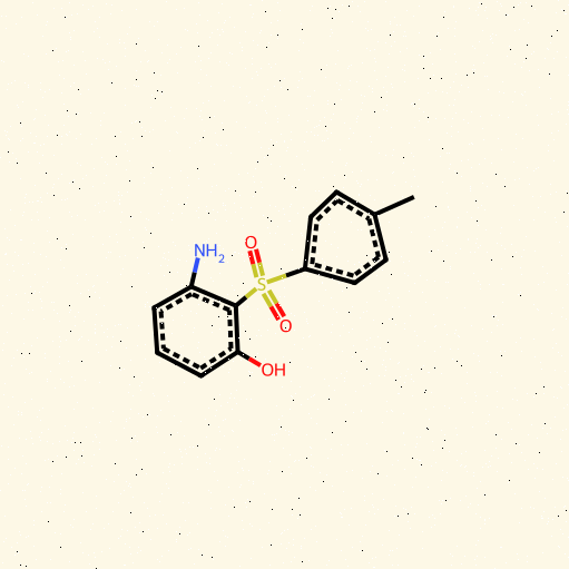 Cc1ccc(S(=O)(=O)c2c(N)cccc2O)cc1